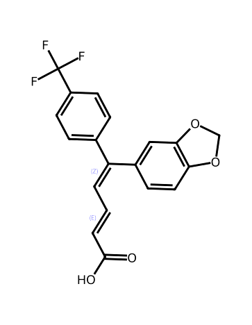 O=C(O)/C=C/C=C(/c1ccc(C(F)(F)F)cc1)c1ccc2c(c1)OCO2